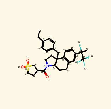 CCc1ccc(CC23CCN(C(=O)C4CCS(=O)(=O)C4)C2CCc2cc(C(C)(F)C(F)(F)F)ccc23)cc1